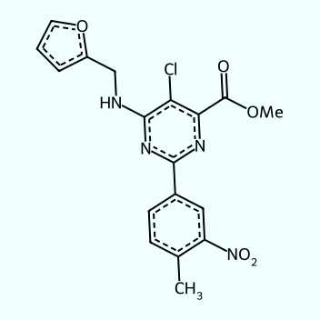 COC(=O)c1nc(-c2ccc(C)c([N+](=O)[O-])c2)nc(NCc2ccco2)c1Cl